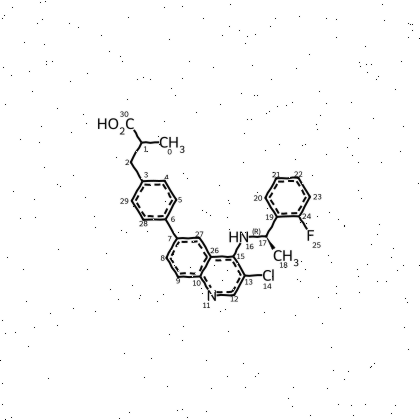 CC(Cc1ccc(-c2ccc3ncc(Cl)c(N[C@H](C)c4ccccc4F)c3c2)cc1)C(=O)O